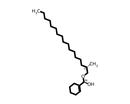 CCCCCCCCCCCCCCC[C@H](C)CO[C@@H](O)C1=CCCCC1